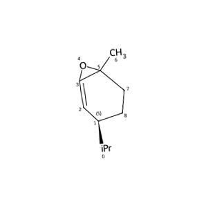 CC(C)[C@H]1C=C2OC2(C)CC1